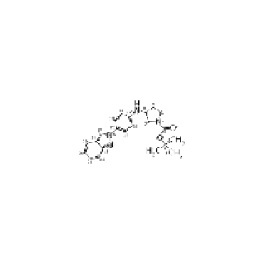 CC(C)(C)OC(=O)N1CCC(Nc2ccc(-n3cc4ccccc4n3)cc2)C1